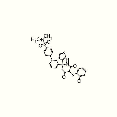 CN(C)S(=O)(=O)c1ccc(-c2cccc(C3(c4ccsc4)CC(=O)C(Sc4ccccc4Cl)C(=O)N3)c2)cc1